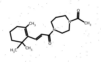 CC(=O)N1CCCN(C(=O)C=CC2=C(C)CCCC2(C)C)CC1